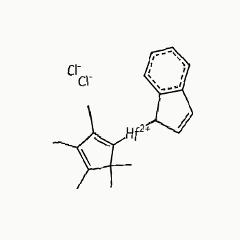 CC1=C(C)C(C)(C)[C]([Hf+2][CH]2C=Cc3ccccc32)=C1C.[Cl-].[Cl-]